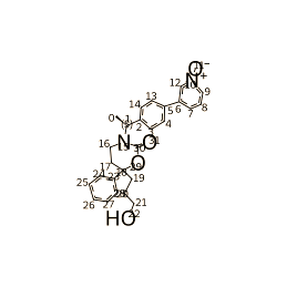 C[C@@H](c1ccc(-c2ccc[n+]([O-])c2)cc1)N1CCC(CCCO)(c2ccccc2)OC1=O